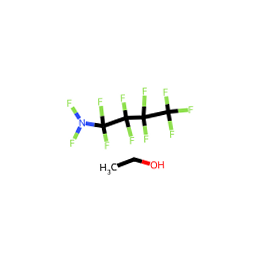 CCO.FN(F)C(F)(F)C(F)(F)C(F)(F)C(F)(F)F